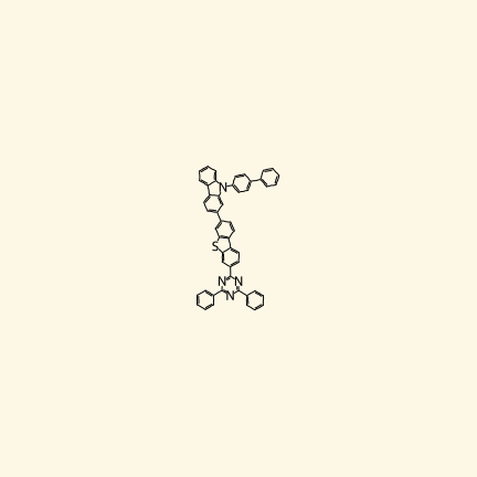 c1ccc(-c2ccc(-n3c4ccccc4c4ccc(-c5ccc6c(c5)sc5cc(-c7nc(-c8ccccc8)nc(-c8ccccc8)n7)ccc56)cc43)cc2)cc1